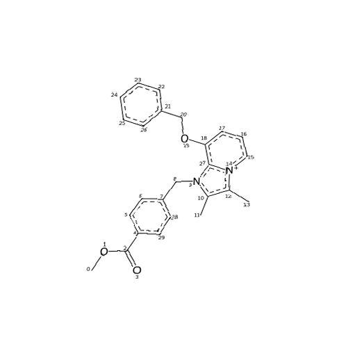 COC(=O)c1ccc(Cn2c(C)c(C)[n+]3cccc(OCc4ccccc4)c23)cc1